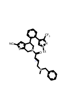 CCn1cc(-c2ccccc2C2CN(C(=O)/C=C/CN(C)Cc3ccccc3)Cc3sc(C#N)cc32)c(C(F)(F)F)n1